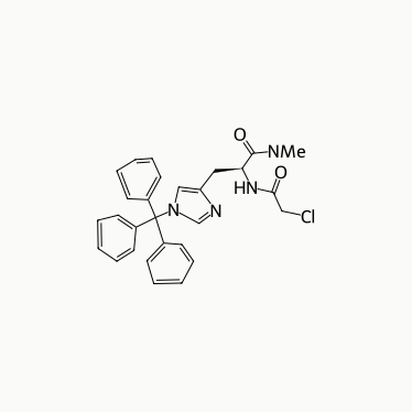 CNC(=O)[C@H](Cc1cn(C(c2ccccc2)(c2ccccc2)c2ccccc2)cn1)NC(=O)CCl